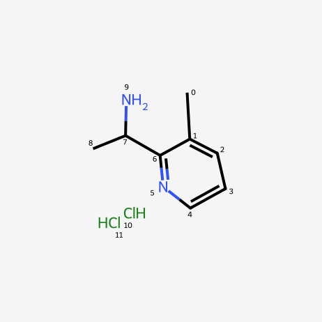 Cc1cccnc1C(C)N.Cl.Cl